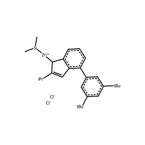 CC(C)C1=Cc2c(-c3cc(C(C)(C)C)cc(C(C)(C)C)c3)cccc2[CH]1[Zr+2][Si](C)C.[Cl-].[Cl-]